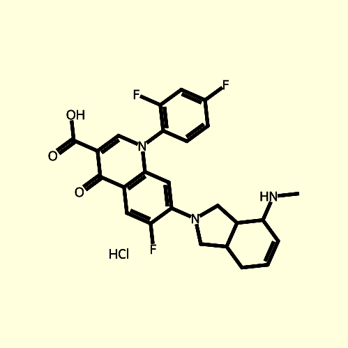 CNC1C=CCC2CN(c3cc4c(cc3F)c(=O)c(C(=O)O)cn4-c3ccc(F)cc3F)CC21.Cl